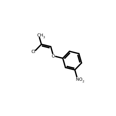 CC(Cl)=COc1cccc([N+](=O)[O-])c1